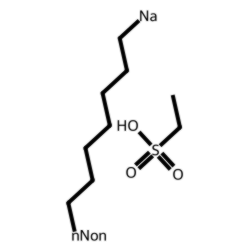 CCCCCCCCCCCCCCC[CH2][Na].CCS(=O)(=O)O